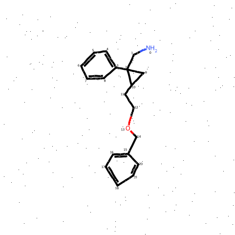 NCC1(c2ccccc2)CC1CCOCc1ccccc1